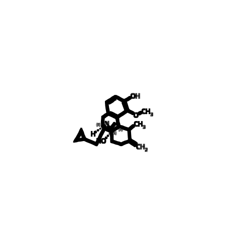 C=C1CC[C@@]2(O)[C@H]3Cc4ccc(O)c(OC)c4[C@@]2(CCN3CC2CC2)C1C